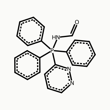 O=CNP(c1ccccc1)(c1ccccc1)(c1ccccc1)c1cccnn1